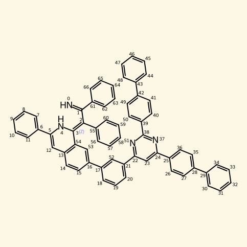 N=C(/C(=C1\NC(c2ccccc2)=Cc2ccc(-c3cccc(-c4cc(-c5ccc(-c6ccccc6)cc5)nc(-c5ccc(-c6ccccc6)cc5)n4)c3)cc21)c1ccccc1)c1ccccc1